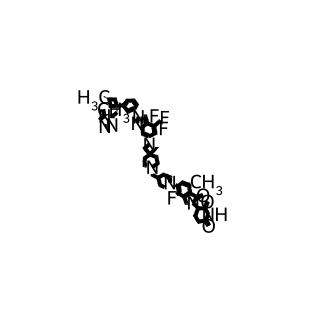 Cc1cc(N2CCC(CN3CCC4(CC3)CN(c3cc(C(F)(F)F)c5cn(-c6cccc([C@]7(Cc8nncn8C)C[C@@H](C)C7)c6)nc5c3)C4)CC2)c(F)c2c1C(=O)N(C1CCC(=O)NC1=O)C2